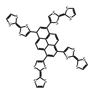 C1=CSC(=C2SC=C(C3=CC(C4=CSC(=C5SC=CS5)S4)=C4C=CC5=C6C(=CC=C3C46)C(C3=CSC(=C4SC=CS4)S3)C=C5C3=CSC(=C4SC=CS4)S3)S2)S1